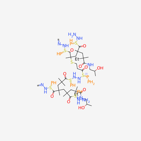 C=NNS(=P)C(=O)C(C)(CC(C)(C)C(=O)S(=P)NN/S(=P\P)C(=O)CCSC(C)(CC(C)(CC(C)(CC)C(=O)NCC(C)O)C(=O)S(=P)NN)C(=O)S(=P)NN=C)CC(C)(CC(C)(CC)C(=O)NCC(C)O)C(=O)S(=P)NN